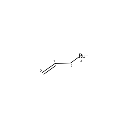 C=C[CH2][Ru+]